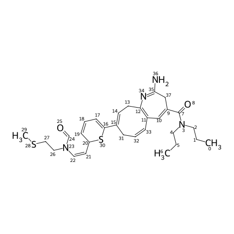 CCCN(CCC)C(=O)C1=CC2=C(C/C=C(/C3=CC=CC(/C=C\N(C=O)CCSC)S3)C/C=C\2)N=C(N)C1